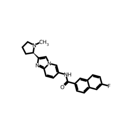 CN1CCC[C@@H]1c1cn2cc(NC(=O)c3ccc4cc(F)ccc4c3)ccc2n1